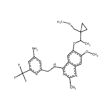 COCC1(C(C)Oc2cc3c(NCc4cc(N)cc(C(F)(F)F)n4)nc(C)nc3cc2OC)CC1